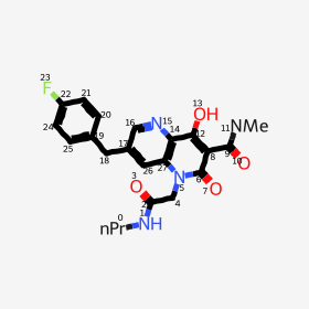 CCCNC(=O)Cn1c(=O)c(C(=O)NC)c(O)c2ncc(Cc3ccc(F)cc3)cc21